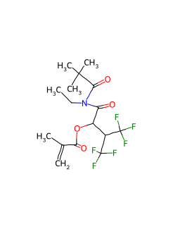 C=C(C)C(=O)OC(C(=O)N(CC)C(=O)C(C)(C)C)C(C(F)(F)F)C(F)(F)F